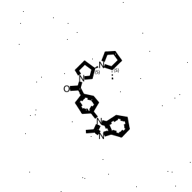 Cc1nc2ccccc2n1-c1ccc(C(=O)N2CC[C@H](N3CCC[C@@H]3C)C2)cc1